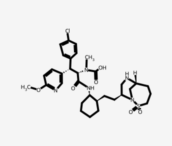 COc1ccc([C@H](c2ccc(Cl)cc2)[C@@H](C(=O)N[C@H]2CCCC[C@@H]2CC[C@H]2CN[C@@H]3CCCS(=O)(=O)N2C3)N(C)C(=O)O)cn1